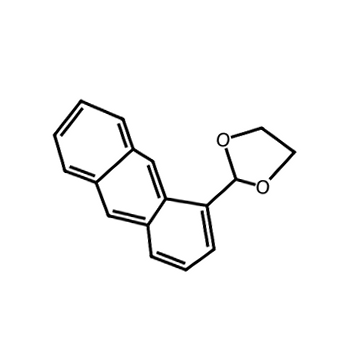 c1ccc2cc3c(C4OCCO4)cccc3cc2c1